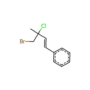 CC(Cl)(C=Cc1ccccc1)CBr